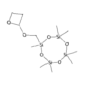 C[Si]1(C)O[Si](C)(C)O[Si](C)(COC2CCO2)O[Si](C)(C)O1